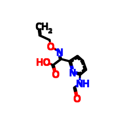 C=CCO/N=C(\C(=O)O)c1cccc(NC=O)n1